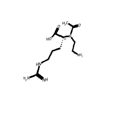 CC(=O)N(CCN)[C@H](CCCNC(=N)N)C(=O)O